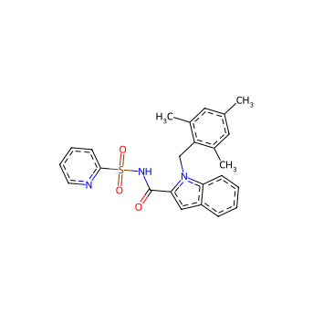 Cc1cc(C)c(Cn2c(C(=O)NS(=O)(=O)c3ccccn3)cc3ccccc32)c(C)c1